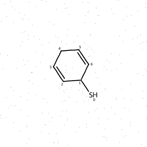 SC1C=CCC=C1